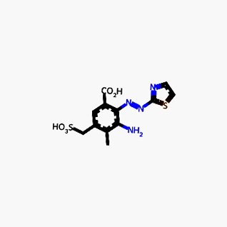 Cc1c(CS(=O)(=O)O)cc(C(=O)O)c(N=Nc2nccs2)c1N